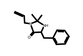 C=CCN1C(=O)C(Cc2ccccc2)NC1(C)C